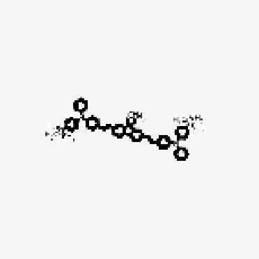 CCC1(CC)c2cc(/C=C/c3ccc(N(c4ccccc4)c4ccc([Si](C)(C)C)cc4)cc3)ccc2-c2ccc(/C=C/c3ccc(N(c4ccccc4)c4ccc([Si](C)(C)C)cc4)cc3)cc21